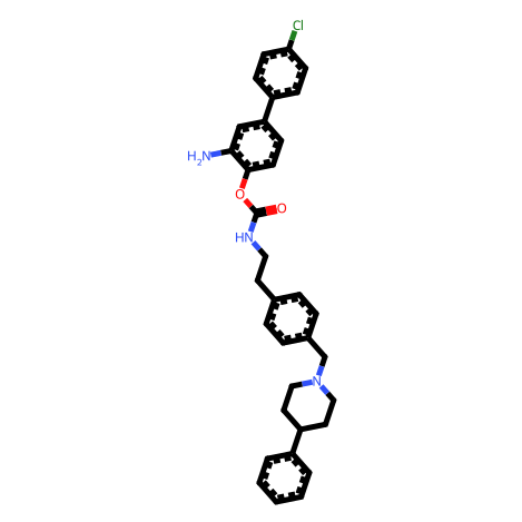 Nc1cc(-c2ccc(Cl)cc2)ccc1OC(=O)NCCc1ccc(CN2CCC(c3ccccc3)CC2)cc1